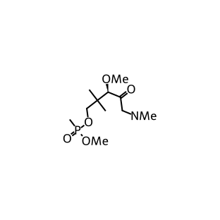 CNCC(=O)[C@H](OC)C(C)(C)COP(C)(=O)OC